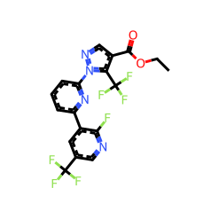 CCOC(=O)c1cnn(-c2cccc(-c3cc(C(F)(F)F)cnc3F)n2)c1C(F)(F)F